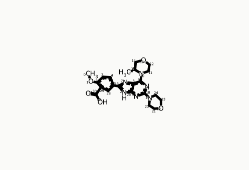 COc1ccc(-c2nc3c(N4CCOC[C@@H]4C)nc(N4CCOCC4)nc3[nH]2)cc1C(=O)O